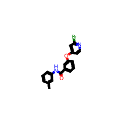 Cc1cccc(NC(=O)c2cccc(Oc3ccnc(Br)c3)c2)c1